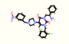 Cc1c(N2CCN(Cc3cccc([N+](=O)[O-])c3)CC2)c(=O)n(C[C@H](N)c2ccccc2)c(=O)n1Cc1c(F)cccc1F